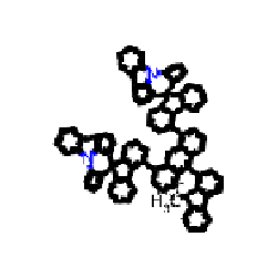 CC1(C)c2ccccc2-c2cccc(-c3c4cccc(-c5cccc6c5-c5ccccc5C65c6ccccc6-n6c7ccccc7c7cccc5c76)c4cc4c(-c5cccc6c5-c5ccccc5C65c6ccccc6-n6c7ccccc7c7cccc5c76)cccc34)c21